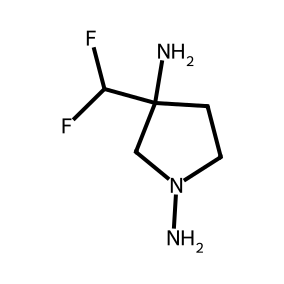 NN1CCC(N)(C(F)F)C1